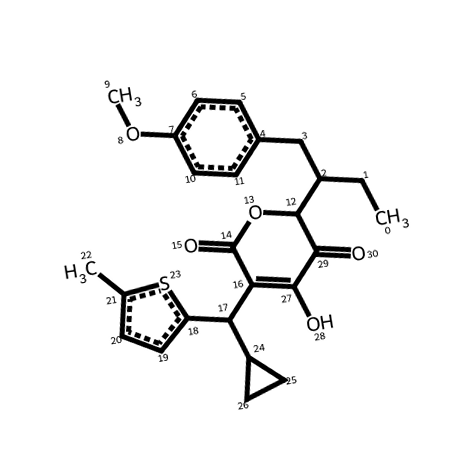 CCC(Cc1ccc(OC)cc1)C1OC(=O)C(C(c2ccc(C)s2)C2CC2)=C(O)C1=O